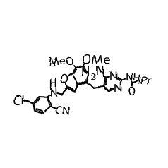 COc1cc(Cc2cnc(NC(=O)C(C)C)nc2N)c2cc(CNc3cc(Cl)ccc3C#N)oc2c1OC